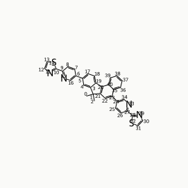 CC1(C)c2cc(-c3ccc(-c4nccs4)nc3)ccc2-c2c1cc(-c1ccc(-c3nccs3)nc1)c1ccccc21